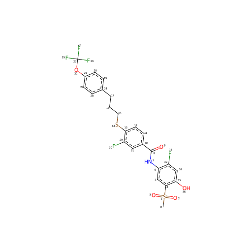 CS(=O)(=O)c1cc(NC(=O)c2ccc(SCCCc3ccc(OC(F)(F)F)cc3)c(F)c2)c(F)cc1O